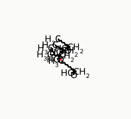 C=C(CCC(CC)CCCC)C(=O)O.C=C(CCCCC)C(=O)O.C=C(CCCCCCC)C(=O)O.C=C(CCCCCCCCC)C(=O)O